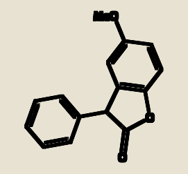 COc1ccc2c(c1)C(c1ccccc1)C(=O)O2